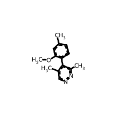 COc1cc(C)ccc1-c1c(C)cnnc1C